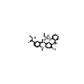 CCS(=O)(=O)Nc1ccccc1Nc1nc(Nc2cc(C(=O)NC)ccc2OC)ncc1Cl